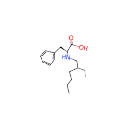 CCCCC(CC)CN[C@@H](Cc1ccccc1)C(=O)O